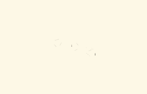 Cc1cnc(C(F)(F)Oc2cc(F)c(C(F)(F)Oc3cc(F)c(F)c(F)c3)c(F)c2)nc1